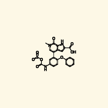 Cn1cc(-c2cc(NC(=O)O[SH](=O)=O)ccc2Oc2ccccc2)c2cc(C(=O)O)[nH]c2c1=O